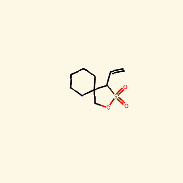 C=CC1C2(CCCCC2)COS1(=O)=O